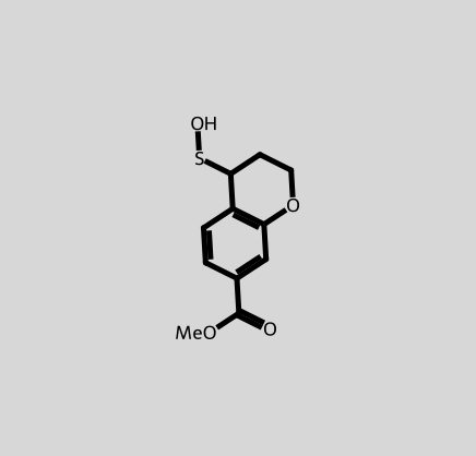 COC(=O)c1ccc2c(c1)OCCC2SO